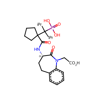 CC(C)C(C(C)C)(C1(C(=O)N[C@H]2CCc3ccccc3N(CC(=O)O)C2=O)CCCC1)P(=O)(O)O